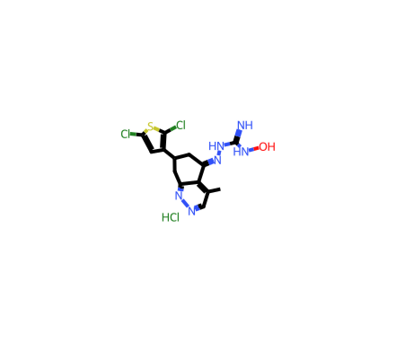 Cc1cnnc2c1/C(=N/NC(=N)NO)CC(c1cc(Cl)sc1Cl)C2.Cl